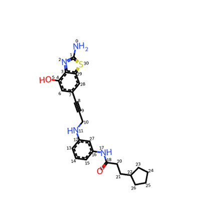 Nc1nc2c(O)cc(C#CCNc3cccc(NC(=O)CCC4CCCC4)c3)cc2s1